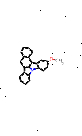 COc1ccc2c(c1)c1c3ccccc3cc3c4ccccc4n2c31